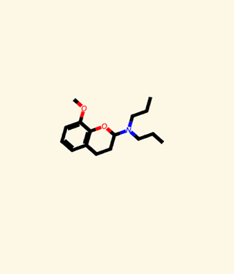 CCCN(CCC)C1CCc2cccc(OC)c2O1